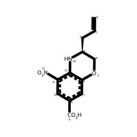 C=CC[C@H]1COc2cc(C(=O)O)cc([N+](=O)[O-])c2N1